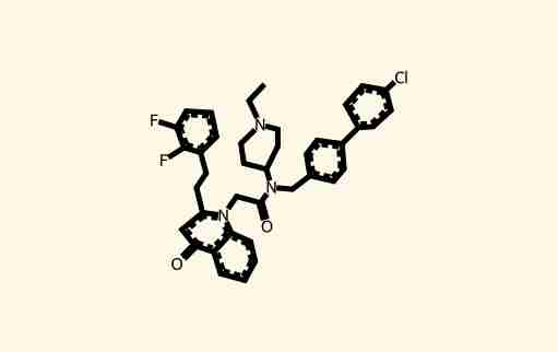 CCN1CCC(N(Cc2ccc(-c3ccc(Cl)cc3)cc2)C(=O)Cn2c(CCc3cccc(F)c3F)cc(=O)c3ccccc32)CC1